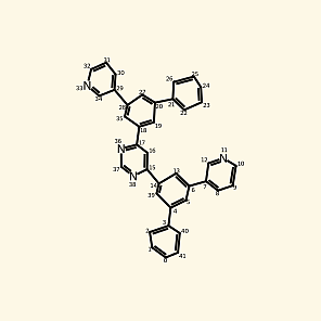 c1ccc(-c2cc(-c3cccnc3)cc(-c3cc(-c4cc(-c5ccccc5)cc(-c5cccnc5)c4)ncn3)c2)cc1